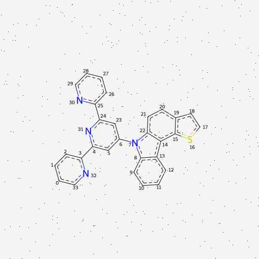 c1ccc(-c2cc(-n3c4ccccc4c4c5sccc5ccc43)cc(-c3ccccn3)n2)nc1